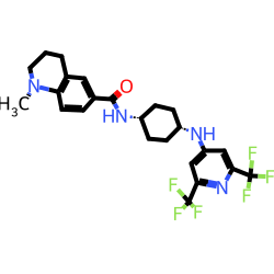 CN1CCCc2cc(C(=O)N[C@H]3CC[C@@H](Nc4cc(C(F)(F)F)nc(C(F)(F)F)c4)CC3)ccc21